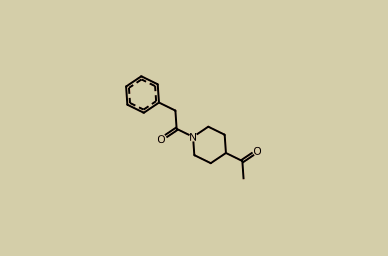 CC(=O)C1CCN(C(=O)Cc2ccccc2)CC1